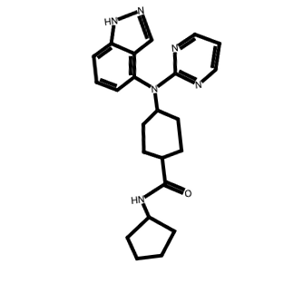 O=C(NC1CCCC1)C1CCC(N(c2ncccn2)c2cccc3[nH]ncc23)CC1